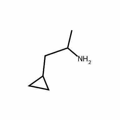 CC(N)CC1CC1